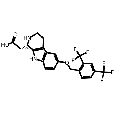 O=C(O)C[C@@H]1NCCc2c1[nH]c1ccc(OCc3ccc(C(F)(F)F)cc3C(F)(F)F)cc21